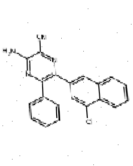 N#Cc1nc(-c2cc(Cl)c3ccccc3c2)c(-c2ccccc2)nc1N